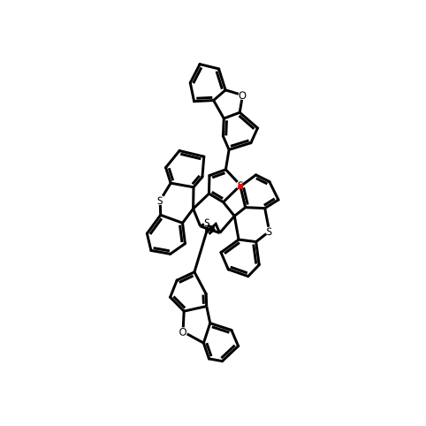 c1ccc2c(c1)Sc1ccccc1C21c2cc(-c3ccc4oc5ccccc5c4c3)sc2C2(c3ccccc3Sc3ccccc32)c2cc(-c3ccc4oc5ccccc5c4c3)sc21